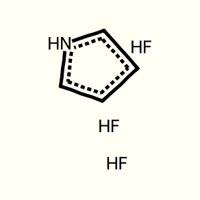 F.F.F.c1cc[nH]c1